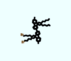 CCCCCCCC1(CCCCCCC)c2cc(C)ccc2-c2ccc(-c3ccc4c(c3)C(CCCCCCBr)(CCCCCCBr)c3cc(C)ccc3-4)cc21